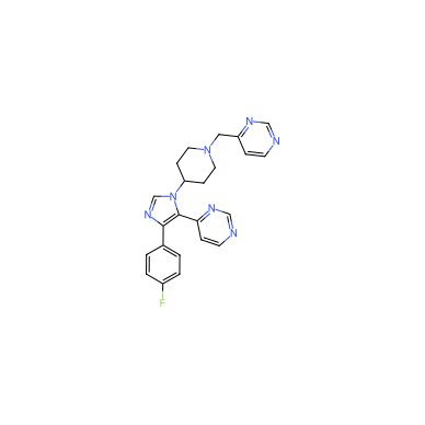 Fc1ccc(-c2ncn(C3CCN(Cc4ccncn4)CC3)c2-c2ccncn2)cc1